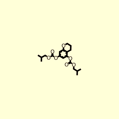 CC(C)COC(=O)Oc1cc2c(c(OC(=O)OCC(C)C)c1)CCCO2